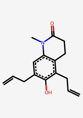 [CH2]N1C(=O)CCc2c1cc(CC=C)c(O)c2CC=C